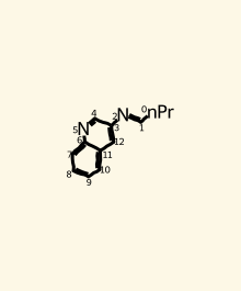 CCCC=Nc1cnc2ccccc2c1